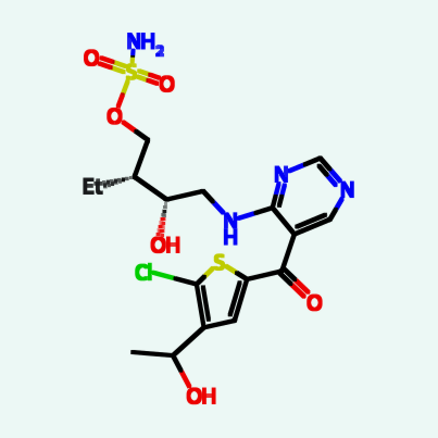 CC[C@H](COS(N)(=O)=O)[C@@H](O)CNc1ncncc1C(=O)c1cc(C(C)O)c(Cl)s1